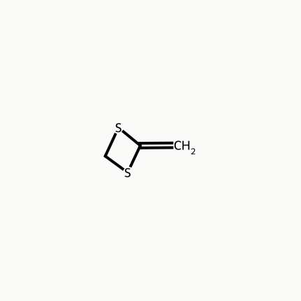 C=C1SCS1